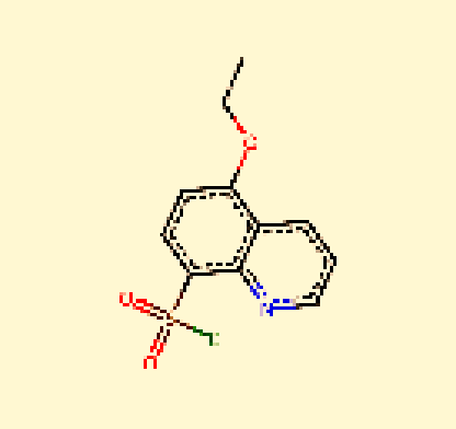 CCOc1ccc(S(=O)(=O)Cl)c2ncccc12